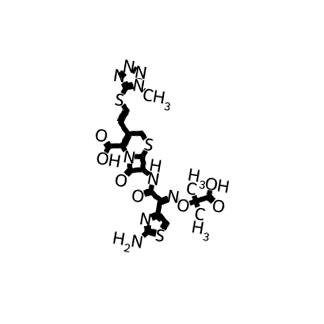 Cn1nnnc1SC=CC1=C(C(=O)O)N2C(=O)C(NC(=O)C(=NOC(C)(C)C(=O)O)c3csc(N)n3)C2SC1